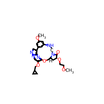 COCCO[C@@H]1C[C@H]2COc3nc4c(cnn4cc3OCC3CC3)-c3cc(cc(OC)c3)NCCN2C1=O